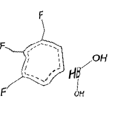 Fc1cccc(F)c1F.OBO